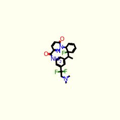 CC(c1cccc(C(F)(F)CN(C)C)c1)C1(F)C=CC=CC1n1nc(C(N)=O)ccc1=O